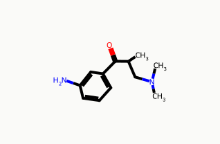 CC(CN(C)C)C(=O)c1cccc(N)c1